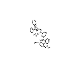 C=NC(=C)/C=C1/C=CC(/C=C\C)=C(N)C1c1ccccc1Cc1cccc(C(N)/C=C\NC(c2ccccc2)c2ccccc2)c1